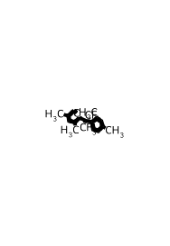 Cc1ccc(C(c2ccc(C)cc2C)(C(F)(F)F)C(F)(F)F)c(C)c1